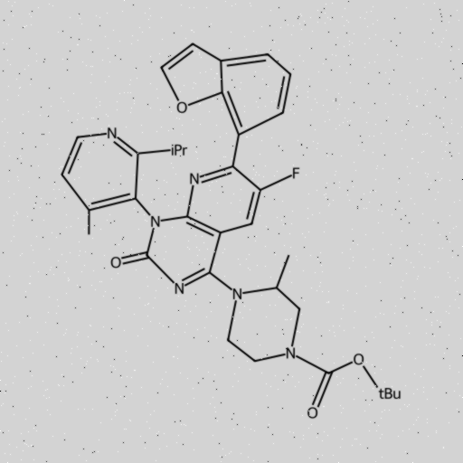 Cc1ccnc(C(C)C)c1-n1c(=O)nc(N2CCN(C(=O)OC(C)(C)C)CC2C)c2cc(F)c(-c3cccc4ccoc34)nc21